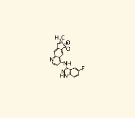 CC1=Cc2cc3nccc(Nc4n[nH]c5ccc(F)cc45)c3cc2S1(=O)=O